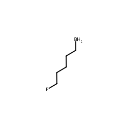 BCCCCCF